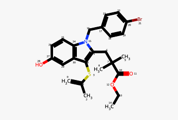 C=C(C)Sc1c(CC(C)(C)C(=O)OCC)n(Cc2ccc(Br)cc2)c2ccc(O)cc12